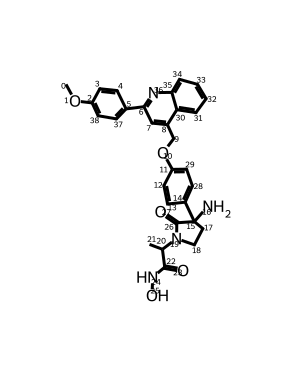 COc1ccc(-c2cc(COc3ccc(C4(N)CCN(C(C)C(=O)NO)C4=O)cc3)c3ccccc3n2)cc1